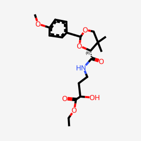 CCOC(=O)C(O)CCNC(=O)[C@@H]1OC(c2ccc(OC)cc2)OCC1(C)C